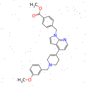 COC(=O)c1ccc(Cn2ccc3c(C4=CCN(Cc5cccc(OC)c5)CC4)ccnc32)cc1